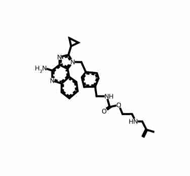 C=C(C)CNCCOC(=O)NCc1ccc(Cn2c(C3CC3)nc3c(N)nc4ccccc4c32)cc1